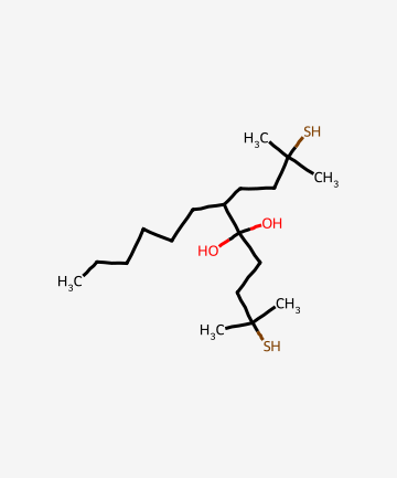 CCCCCCC(CCC(C)(C)S)C(O)(O)CCC(C)(C)S